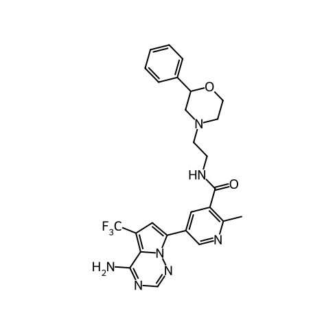 Cc1ncc(-c2cc(C(F)(F)F)c3c(N)ncnn23)cc1C(=O)NCCN1CCOC(c2ccccc2)C1